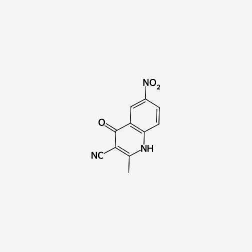 Cc1[nH]c2ccc([N+](=O)[O-])cc2c(=O)c1C#N